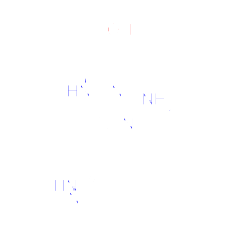 Nc1nc(N[C@H]2CC[C@H](O)C2)c2ccc(-c3ccn[nH]3)cc2n1